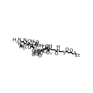 CCSCC(=O)CC(=O)SCCNC(=O)CCNC(=O)C(O)C(C)(C)COP(=O)(O)OP(=O)(O)OCC1OC(C)(n2cnc3c(N)ncnc32)C(O)C1OP(=O)(O)O